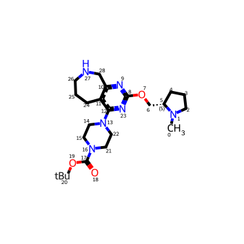 CN1CCC[C@H]1COc1nc2c(c(N3CCN(C(=O)OC(C)(C)C)CC3)n1)CCCNC2